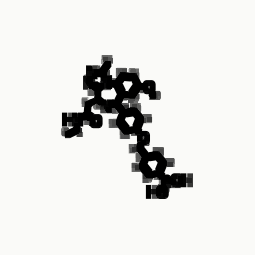 CCNC(=O)C[C@@H]1N=C(c2ccc(OCc3ccc(B(O)O)cc3)cc2)c2cc(OC)ccc2-n2c(C)nnc21